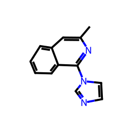 Cc1cc2ccccc2c(-n2ccnc2)n1